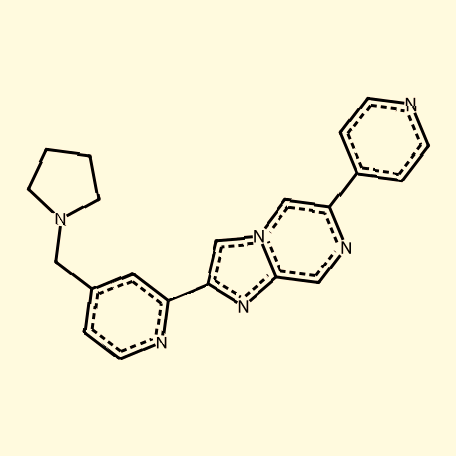 c1cc(-c2cn3cc(-c4cc(CN5CCCC5)ccn4)nc3cn2)ccn1